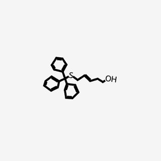 OCCC=CCSC(c1ccccc1)(c1ccccc1)c1ccccc1